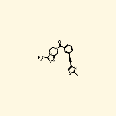 Cc1nc(C#Cc2cccc(C(=O)N3CCn4c(nnc4C(F)(F)F)C3)c2)cs1